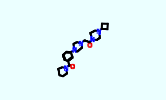 O=C(CN1CCN(c2cccc(C(=O)N3CCCCC3)c2)CC1)N1CCN(C2CCC2)CC1